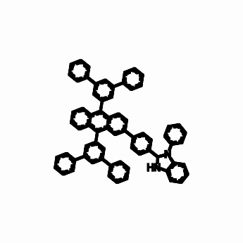 c1ccc(-c2cc(-c3ccccc3)cc(-c3c4ccccc4c(-c4cc(-c5ccccc5)cc(-c5ccccc5)c4)c4cc(-c5ccc(C6Nc7ccccc7N6c6ccccc6)cc5)ccc34)c2)cc1